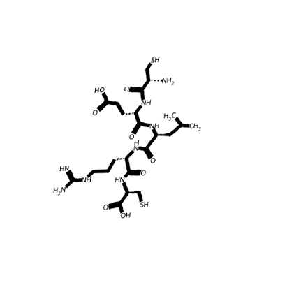 CC(C)C[C@H](NC(=O)[C@H](CCC(=O)O)NC(=O)[C@@H](N)CS)C(=O)N[C@@H](CCCNC(=N)N)C(=O)N[C@@H](CS)C(=O)O